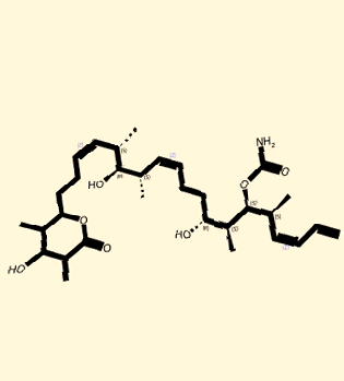 C=C/C=C\[C@H](C)[C@H](OC(N)=O)[C@@H](C)[C@H](O)CC/C=C\[C@H](C)[C@@H](O)[C@@H](C)/C=C\CCC1OC(=O)C(C)C(O)C1C